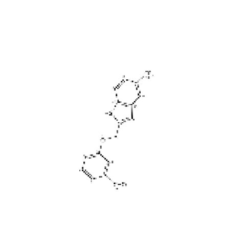 O=Cc1cccc(OCc2cc3cc(C(F)(F)F)ccc3s2)c1